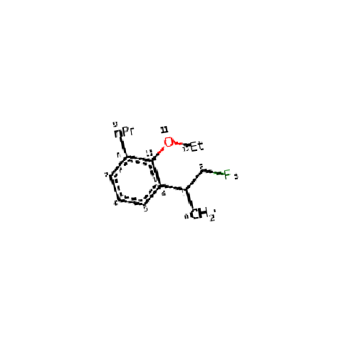 [CH2]C(CF)c1cccc(CCC)c1OCC